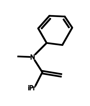 C=C(C(C)C)N(C)C1C=CC=CC1